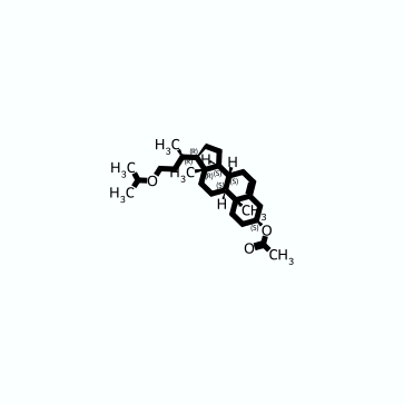 CC(=O)O[C@H]1CC[C@@]2(C)C(=CC[C@H]3[C@@H]4CC[C@H]([C@H](C)CCOC(C)C)[C@@]4(C)CC[C@@H]32)C1